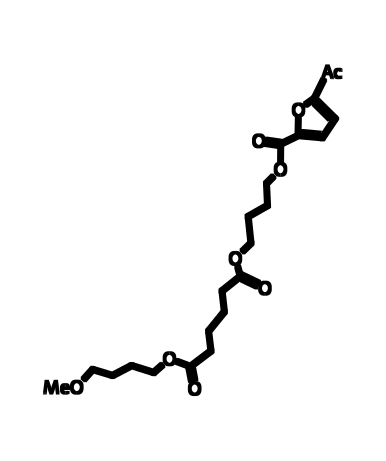 COCCCCOC(=O)CCCCC(=O)OCCCCOC(=O)c1ccc(C(C)=O)o1